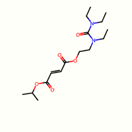 CCN(CC)C(=O)N(CC)CCOC(=O)/C=C/C(=O)OC(C)C